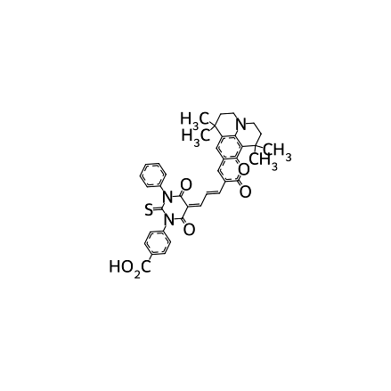 CC1(C)CCN2CCC(C)(C)c3c2c1cc1cc(C=CC=C2C(=O)N(c4ccccc4)C(=S)N(c4ccc(C(=O)O)cc4)C2=O)c(=O)oc31